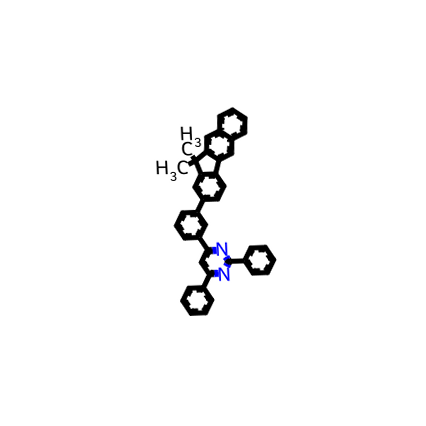 CC1(C)c2cc(-c3cccc(-c4cc(-c5ccccc5)nc(-c5ccccc5)n4)c3)ccc2-c2cc3ccccc3cc21